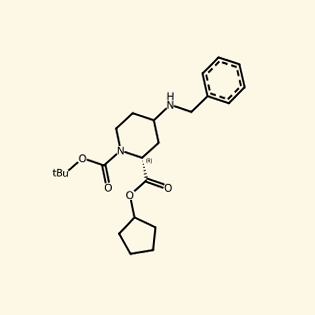 CC(C)(C)OC(=O)N1CCC(NCc2ccccc2)C[C@@H]1C(=O)OC1CCCC1